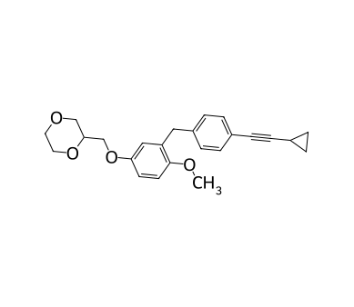 COc1ccc(OCC2COCCO2)cc1Cc1ccc(C#CC2CC2)cc1